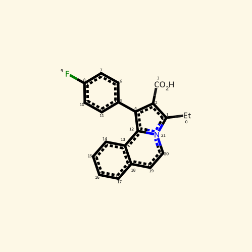 CCc1c(C(=O)O)c(-c2ccc(F)cc2)c2c3ccccc3ccn12